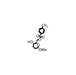 CO[C@@H]1CC[C@H](O)[C@@H](COS(=O)(=O)c2ccc(C)cc2)O1